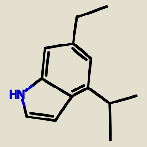 CCc1cc(C(C)C)c2cc[nH]c2c1